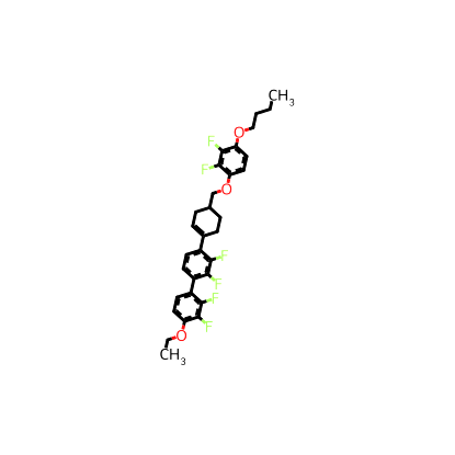 CCCCOc1ccc(OCC2CC=C(c3ccc(-c4ccc(OCC)c(F)c4F)c(F)c3F)CC2)c(F)c1F